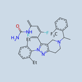 C=C(/C=C(F)\C(=C/F)c1c2c(nn1-c1c(CC)cccc1CC)CCN(C(C)c1ccccc1C(F)(F)F)C2)NC(N)=O